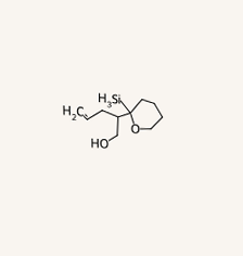 C=CCC(CO)C1([SiH3])CCCCO1